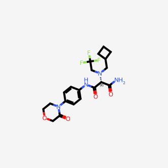 NC(=O)[C@H](C(=O)Nc1ccc(N2CCOCC2=O)cc1)N(CC1CCC1)CC(F)(F)F